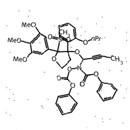 CC#CC(OC1(c2ccccc2OCCC)CCOC1(c1cc(OC)c(OC)c(OC)c1)S(C)(=O)=O)N(OC(=O)Oc1ccccc1)C(=O)Oc1ccccc1